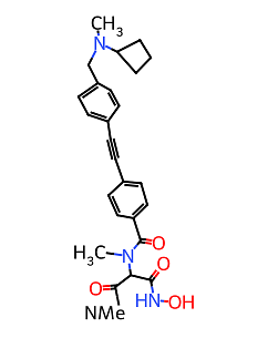 CNC(=O)C(C(=O)NO)N(C)C(=O)c1ccc(C#Cc2ccc(CN(C)C3CCC3)cc2)cc1